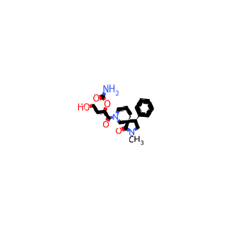 CN1C[C@@H](c2ccccc2)[C@@]2(CCCN(C(=O)C(CCO)OC(N)=O)C2)C1=O